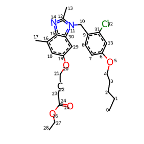 CCCCCOc1ccc(Cn2c(C)nc3c(C)cc(OCCCC(=O)OCC)cc32)c(Cl)c1